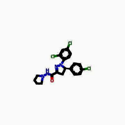 O=C(NN1CCCC1)C1=NN(c2ccc(Cl)cc2Cl)[C@@H](c2ccc(Cl)cc2)C1